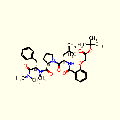 CC(C)C[C@@H](NC(=O)c1ccccc1OCC(=O)OC(C)(C)C)C(=O)N1CCC[C@@H]1C(=O)N(C)[C@@H](Cc1ccccc1)C(=O)N(C)C